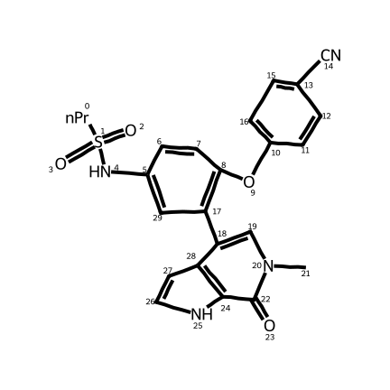 CCCS(=O)(=O)Nc1ccc(Oc2ccc(C#N)cc2)c(-c2cn(C)c(=O)c3[nH]ccc23)c1